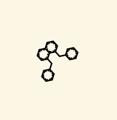 c1ccc(Cc2cccc3cccc(Cc4ccccc4)c23)cc1